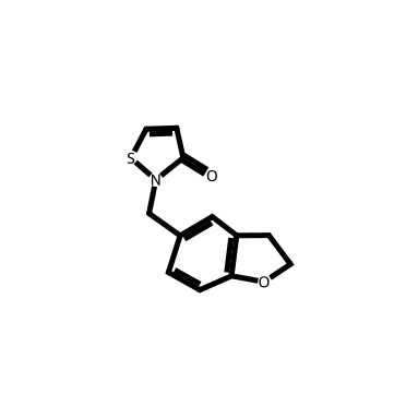 O=c1ccsn1Cc1ccc2c(c1)CCO2